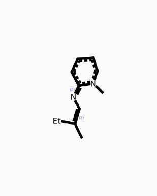 CC/C(C)=C\N=c1\ccccn1C